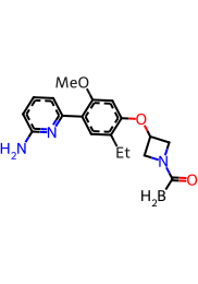 BC(=O)N1CC(Oc2cc(OC)c(-c3cccc(N)n3)cc2CC)C1